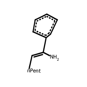 CCCCCC=C(N)c1ccccc1